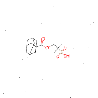 CC(C)(COC(=O)C12CC3CC(CC(C3)C1)C2)S(=O)(=O)O